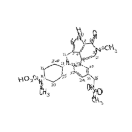 Cn1cc2c3c(c[nH]c3c1=O)CN([C@H]1CC[C@@H](N(C)C(=O)O)CC1)c1ccc(CS(C)(=O)=O)cc1-2